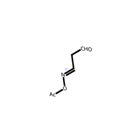 CC(=O)O/N=C/CC=O